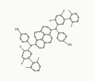 [C-]#[N+]c1ccc(N(c2cc(-c3c(C)cccc3C)c(F)cc2F)c2ccc3ccc4c(N(c5ccc(C#N)cc5)c5cc(-c6c(C)cccc6C)c(F)cc5F)ccc5ccc2c3c54)cc1